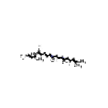 C=C(/C=C/C(F)(F)F)NC(C)CSC/C=C(\C)CC/C=C(\C)CCC=C(C)C